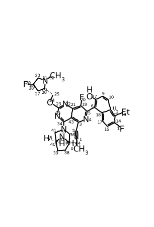 CC#Cc1nc(-c2c(O)ccc3c(CC)c(F)ccc23)c(F)c2nc(OC[C@@H]3C[C@@H](F)CN3C)nc(N3C[C@H]4CC[C@@H](C3)N4)c12